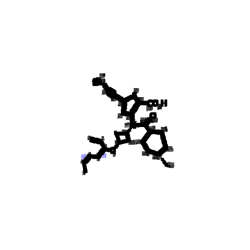 C=C/C(=C\C=C/C)O[C@H]1C[C@H](N(c2cc(C#CC(C)(C)C)sc2C(=O)O)C(=O)[C@H]2CC[C@H](C)CC2)C1